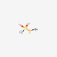 CCCCPS(=O)(=O)C(F)(F)F